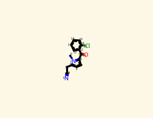 Cn1c(CC#N)ccc1C(=O)c1ccccc1Cl